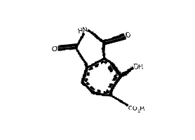 O=C(O)c1ccc2c(c1O)C(=O)NC2=O